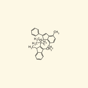 CC1=C([SH](C)(C)(C)C2C(c3ccccc3)=Cc3c(C)ccc(C)c32)C(C)c2ccccc21